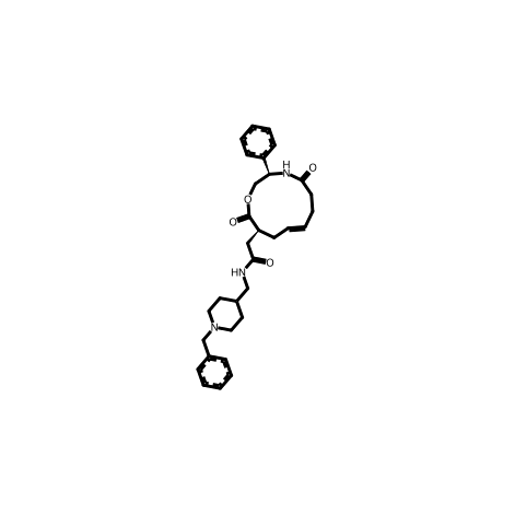 O=C(C[C@@H]1C/C=C/CCC(=O)N[C@H](c2ccccc2)COC1=O)NCC1CCN(Cc2ccccc2)CC1